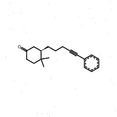 CC1(C)CCC(=O)C[C@H]1CCCC#Cc1ccccc1